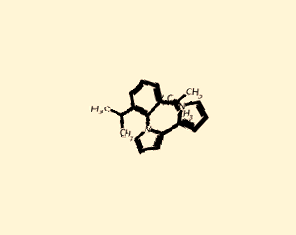 CC(C)c1cccc(C(C)C)c1-n1cccc1-c1cccn1C